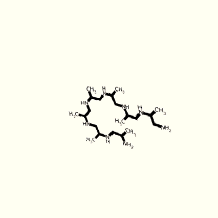 CC(N)CNC(C)CNC(C)CNC(C)CNC(C)CNC(C)CNC(C)CN